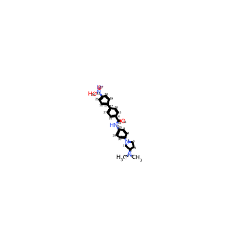 CN(C)C1CCN(c2ccc(NC(=O)c3ccc(-c4ccc([NH+]([O-])O)cc4)cc3)cc2)C1